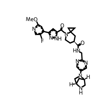 COc1cc(-c2cc(C(=O)N3CC[C@H](C(=O)NCc4ncc(N5C[C@@H]6C[C@H]5CN6)cn4)CC34CC4)[nH]n2)c(F)cn1